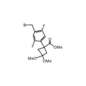 COC(=O)C1(c2cc(F)c(CBr)cc2F)CC(OC)(OC)C1